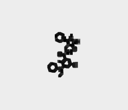 CCN(c1cc(Cl)cc(C(=O)NCc2c(N3CCCCC3)n(C)[nH]c2=O)c1C)C1CCCCC1